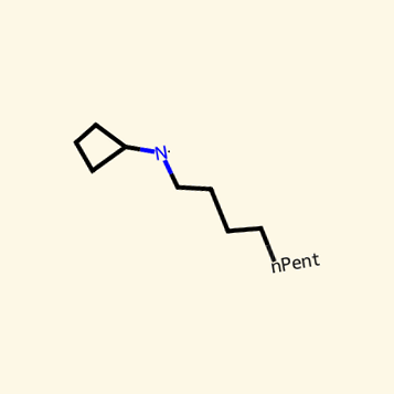 CCCCCCCCC[N]C1CCC1